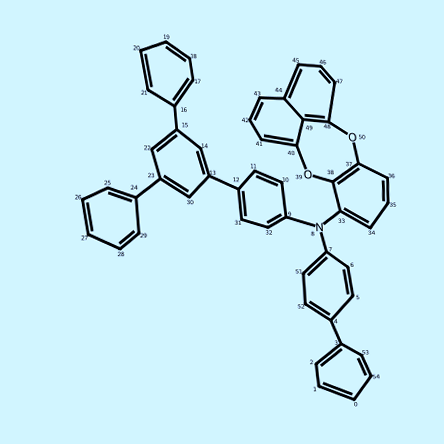 c1ccc(-c2ccc(N(c3ccc(-c4cc(-c5ccccc5)cc(-c5ccccc5)c4)cc3)c3cccc4c3Oc3cccc5cccc(c35)O4)cc2)cc1